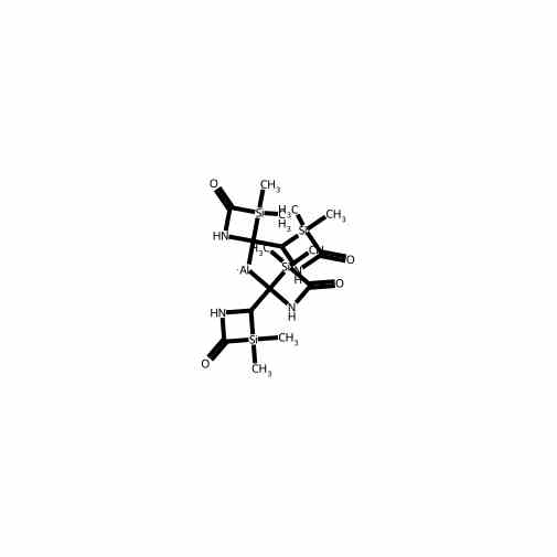 C[Si]1(C)C(=O)NC1[C]1([Al][C]2(C3NC(=O)[Si]3(C)C)NC(=O)[Si]2(C)C)NC(=O)[Si]1(C)C